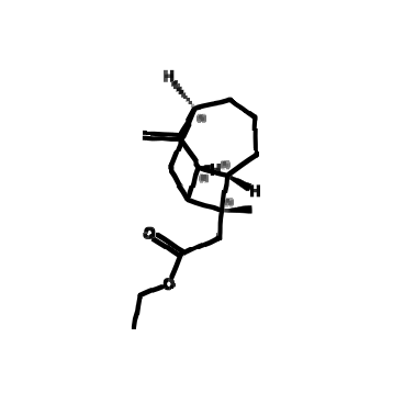 C=C1[C@H]2CCC[C@H]3[C@@H]1C(C2)[C@@]3(C)CC(=O)OCC